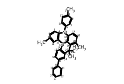 Cc1ccc(N2c3ccc(C)cc3B3c4ccc(-c5ccccc5)cc4C(C)(C)c4c(C)ccc2c43)cc1